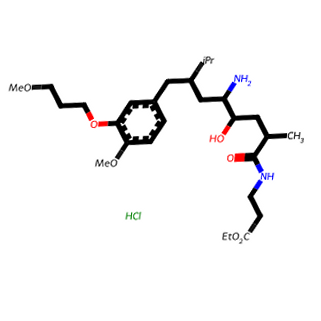 CCOC(=O)CCNC(=O)C(C)CC(O)C(N)CC(Cc1ccc(OC)c(OCCCOC)c1)C(C)C.Cl